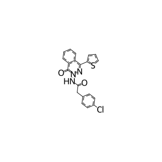 O=C(Cc1ccc(Cl)cc1)Nn1nc(-c2cccs2)c2ccccc2c1=O